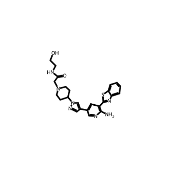 Nc1ncc(-c2cnn(C3CCN(CC(=O)NCCO)CC3)c2)cc1-c1nc2ccccc2s1